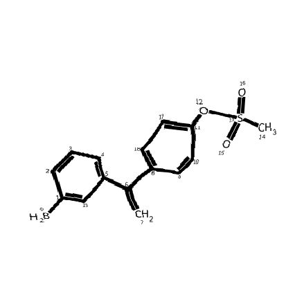 Bc1cccc(C(=C)c2ccc(OS(C)(=O)=O)cc2)c1